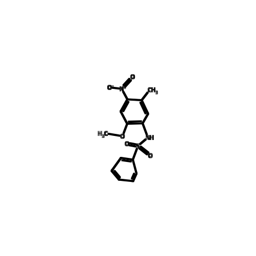 COc1cc([N+](=O)[O-])c(C)cc1NS(=O)(=O)c1ccccc1